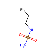 CC(C)CCNS(N)(=O)=O